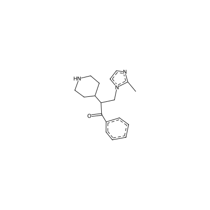 Cc1nccn1CC(C(=O)c1ccccc1)C1CCNCC1